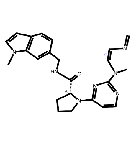 C=N/C=C\N(C)c1nccc(N2CCC[C@@H]2C(=O)NCc2ccc3ccn(C)c3c2)n1